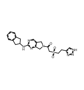 O=C(CS(=O)(=O)CCc1c[nH]nn1)N1Cc2cnc(NC3Cc4ccccc4C3)nc2C1